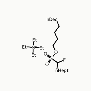 CCCCCCCCCCCCCCOS(=O)(=O)C(F)CCCCCCC.CC[N+](CC)(CC)CC